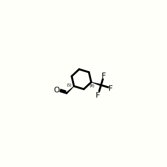 O=C[C@H]1CCC[C@@H](C(F)(F)F)C1